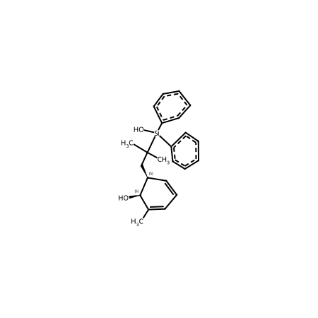 CC1=CC=C[C@H](CC(C)(C)[Si](O)(c2ccccc2)c2ccccc2)[C@@H]1O